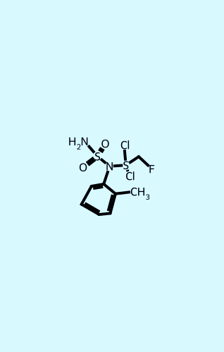 Cc1ccccc1N(S(Cl)(Cl)CF)S(N)(=O)=O